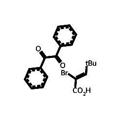 CC(C)(C)/C=C(\Br)C(=O)O.O=C(C(=O)c1ccccc1)c1ccccc1